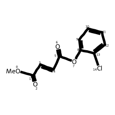 COC(=O)C=CC(=O)Oc1ccccc1Cl